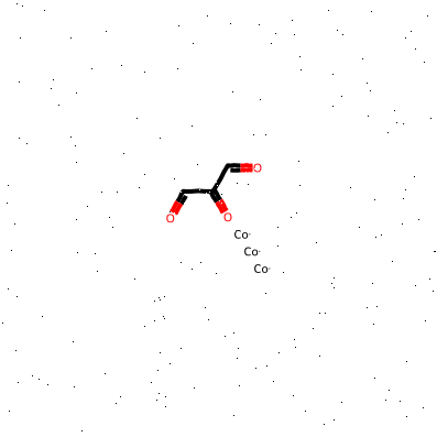 O=CC(=O)C=O.[Co].[Co].[Co]